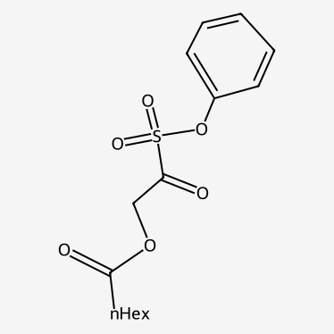 CCCCCCC(=O)OCC(=O)S(=O)(=O)Oc1ccccc1